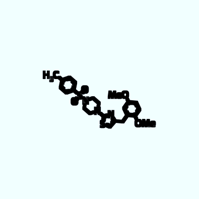 COc1ccc(OC)c(Cc2csc(N3CCN(S(=O)(=O)c4ccc(C)cc4)CC3)n2)c1